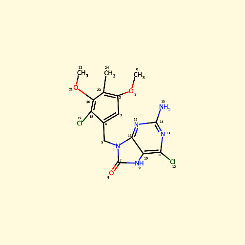 COc1cc(Cn2c(=O)[nH]c3c(Cl)nc(N)nc32)c(Cl)c(OC)c1C